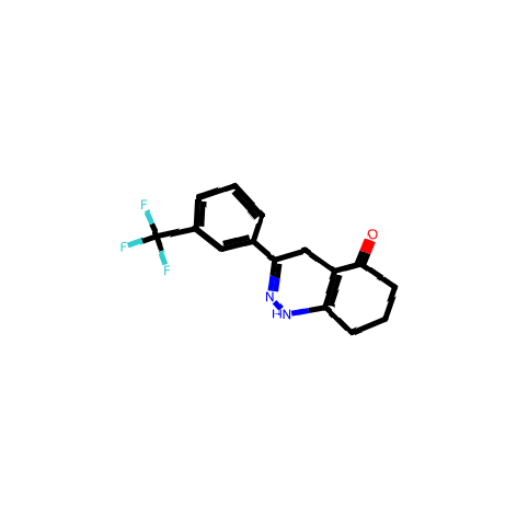 O=C1CCCC2=C1CC(c1cccc(C(F)(F)F)c1)=NN2